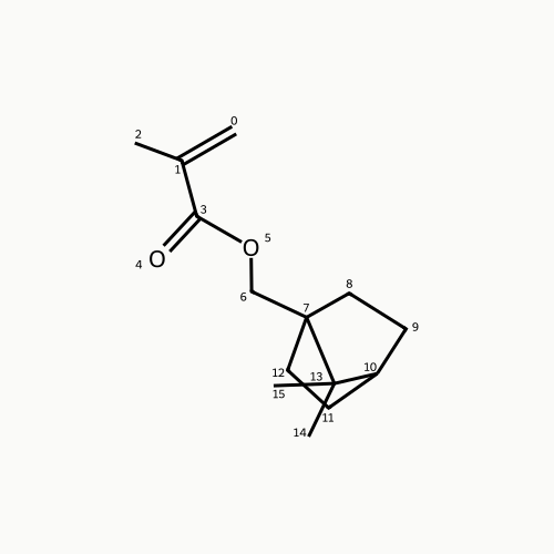 C=C(C)C(=O)OCC12CCC(CC1)C2(C)C